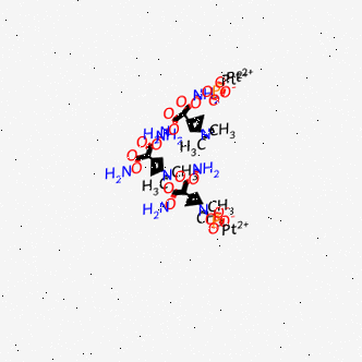 CN(C)[C@H]1C[C@@H](C(C(=O)ON)C(=O)ON)C1.CN(C)[C@H]1C[C@@H](C(C(=O)ON)C(=O)ON)C1.CN(C)[C@H]1C[C@@H](C(C(=O)ON)C(=O)ON)C1.O=P([O-])([O-])[O-].O=P([O-])([O-])[O-].[Pt+2].[Pt+2].[Pt+2]